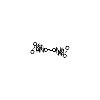 O=C(Nc1ccc(/C=C/c2ccc(NC(=O)[C@@H]3CCCN3C(=O)c3ccccc3CCc3ccccc3)cc2)cc1)[C@@H]1CCCN1C(=O)c1ccccc1CCc1ccccc1